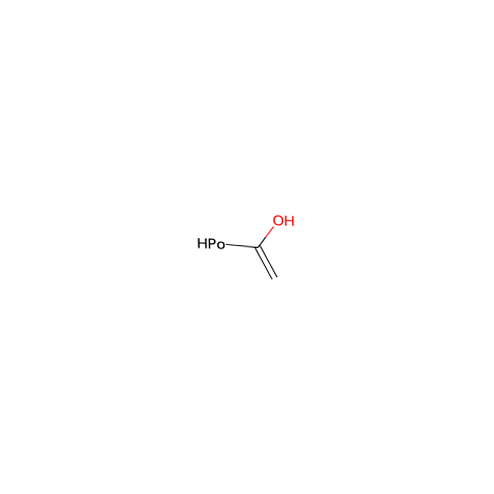 C=[C](O)[PoH]